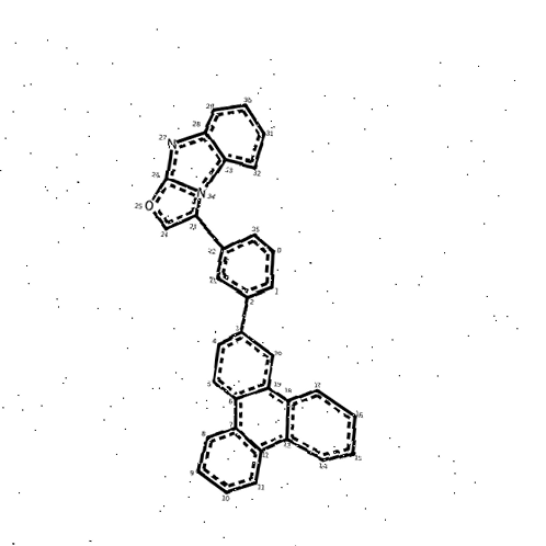 c1cc(-c2ccc3c4ccccc4c4ccccc4c3c2)cc(-c2coc3nc4ccccc4n23)c1